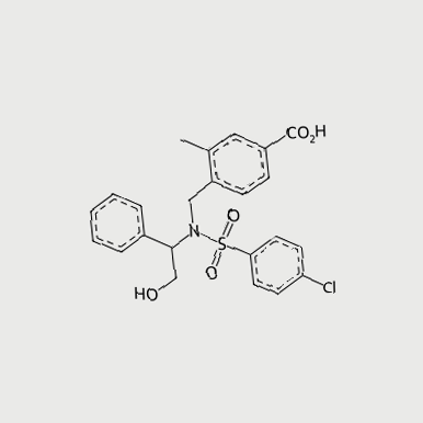 Cc1cc(C(=O)O)ccc1CN(C(CO)c1ccccc1)S(=O)(=O)c1ccc(Cl)cc1